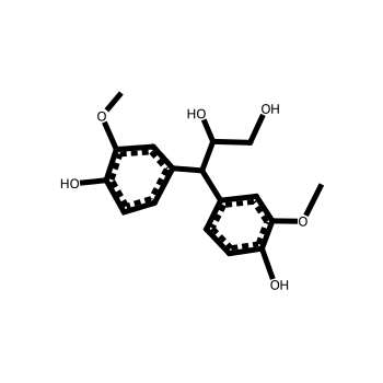 COc1cc(C(c2ccc(O)c(OC)c2)C(O)CO)ccc1O